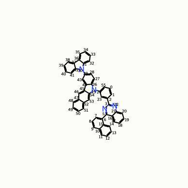 c1cc(-c2nc(-c3cccc4ccccc34)c3ccccc3n2)cc(-n2c3ccc(-n4c5ccccc5c5ccccc54)cc3c3cc4ccccc4cc32)c1